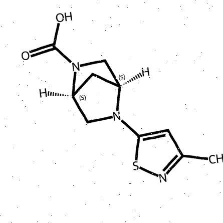 Cc1cc(N2C[C@@H]3C[C@H]2CN3C(=O)O)sn1